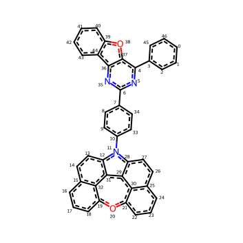 c1ccc(-c2nc(-c3ccc(-n4c5ccc6cccc7oc8cccc9ccc4c(c98)c5c67)cc3)nc3c2oc2ccccc23)cc1